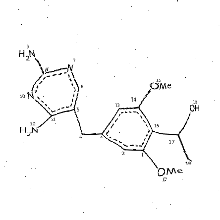 COc1cc(Cc2cnc(N)nc2N)cc(OC)c1C(C)O